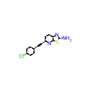 Nc1nc2ccc(C#Cc3ccc(Cl)cc3)nc2s1